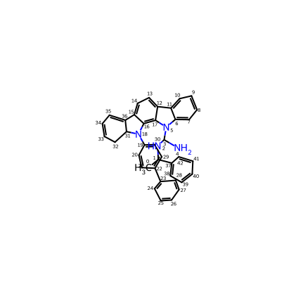 CC(NC(N)n1c2ccccc2c2ccc3c(c21)N(c1ccc(-c2ccccc2)cc1)C1CC=CC=C31)c1ccccc1